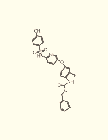 Cc1ccc(S(=O)(=O)Nc2ccc(Oc3ccc(NC(=O)OCc4ccccc4)c(F)c3)cn2)cc1